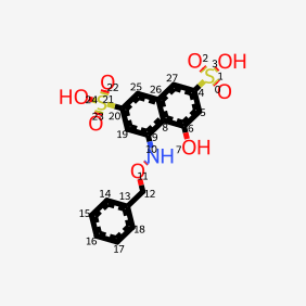 O=S(=O)(O)c1cc(O)c2c(NOCc3ccccc3)cc(S(=O)(=O)O)cc2c1